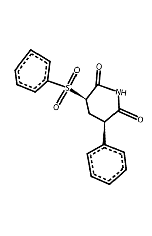 O=C1NC(=O)[C@@H](c2ccccc2)C[C@H]1S(=O)(=O)c1ccccc1